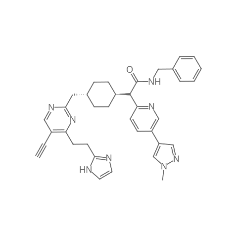 C#Cc1cnc(C[C@H]2CC[C@H](C(C(=O)NCc3ccccc3)c3ccc(-c4cnn(C)c4)cn3)CC2)nc1CCc1ncc[nH]1